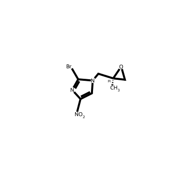 C[C@@]1(Cn2cc([N+](=O)[O-])nc2Br)CO1